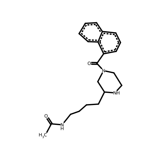 CC(=O)NCCCCC1CN(C(=O)c2cccc3ccccc23)CCN1